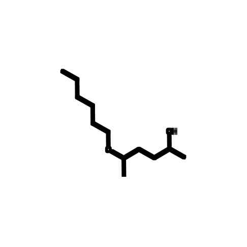 CCCCCCOC(C)CCC(C)O